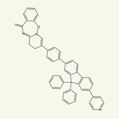 C=C1N=C2CCC(c3ccc(-c4ccc5c(c4)C(c4ccccc4)(c4ccccc4)c4cc(-c6ccncc6)ccc4-5)cc3)=CN2Oc2ccccc21